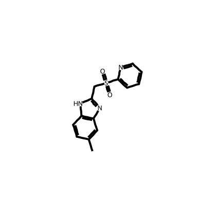 Cc1ccc2[nH]c(CS(=O)(=O)c3ccccn3)nc2c1